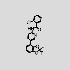 O=C(Nc1ccc(-c2cccc3c2OC(F)(F)O3)cn1)c1ccccc1Cl